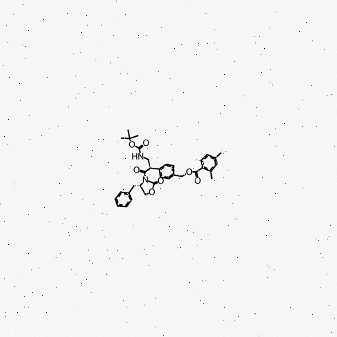 Cc1ccc(C(=O)OCc2ccc([C@H](CNC(=O)OC(C)(C)C)C(=O)N3C(=O)OC[C@@H]3Cc3ccccc3)cc2)c(C)c1